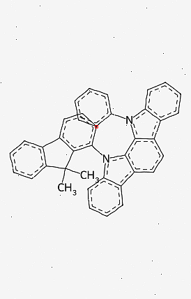 CC1(C)c2ccccc2-c2cccc(-n3c4ccccc4c4ccc5c6ccccc6n(-c6ccccc6)c5c43)c21